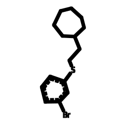 Brc1cccc(SCCC2CCCCCC2)c1